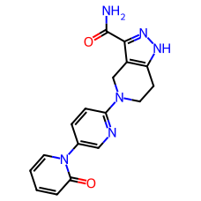 NC(=O)c1n[nH]c2c1CN(c1ccc(-n3ccccc3=O)cn1)CC2